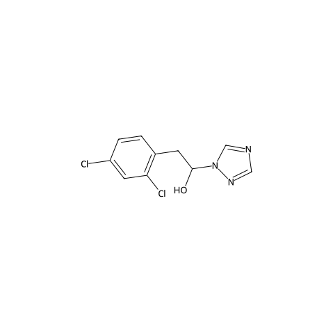 OC(Cc1ccc(Cl)cc1Cl)n1cncn1